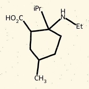 CCNC1(C(C)C)CCC(C)CC1C(=O)O